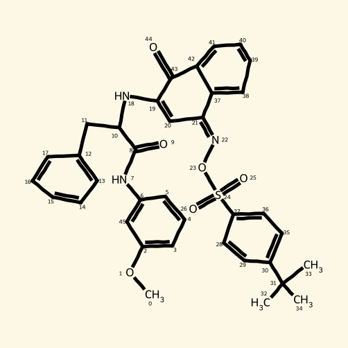 COc1cccc(NC(=O)C(Cc2ccccc2)NC2=CC(=NOS(=O)(=O)c3ccc(C(C)(C)C)cc3)c3ccccc3C2=O)c1